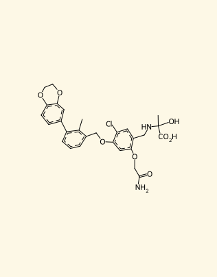 Cc1c(COc2cc(OCC(N)=O)c(CNC(C)(O)C(=O)O)cc2Cl)cccc1-c1ccc2c(c1)OCCO2